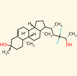 C[C@H](CC(F)(F)[C@H](C)O)C1CC[C@H]2[C@@H]3CC=C4C[C@@](C)(O)CC[C@]4(C)[C@H]3CC[C@]12C